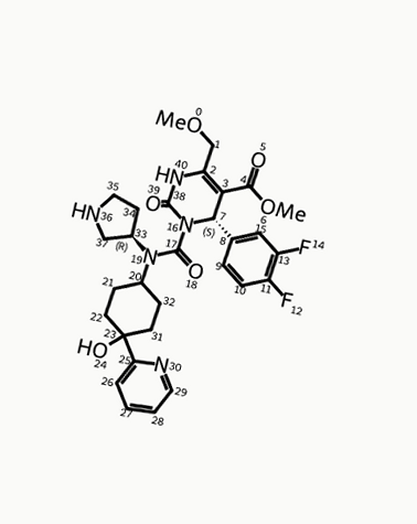 COCC1=C(C(=O)OC)[C@H](c2ccc(F)c(F)c2)N(C(=O)N(C2CCC(O)(c3ccccn3)CC2)[C@@H]2CCNC2)C(=O)N1